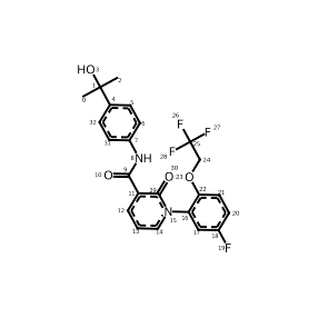 CC(C)(O)c1ccc(NC(=O)c2cccn(-c3cc(F)ccc3OCC(F)(F)F)c2=O)cc1